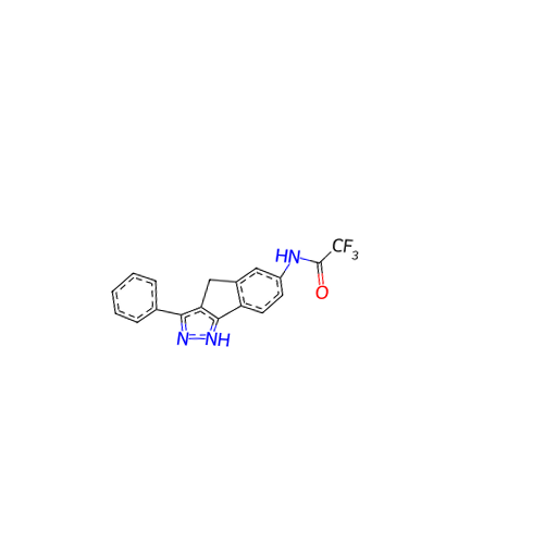 O=C(Nc1ccc2c(c1)Cc1c(-c3ccccc3)n[nH]c1-2)C(F)(F)F